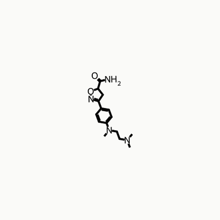 CN(C)CCN(C)c1ccc(C2=NOC(C(N)=O)C2)cc1